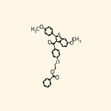 COc1ccc(-c2sc3cc(OC)ccc3c2C(=O)c2ccc(OCCOC(=O)c3ccccc3)cc2)cc1